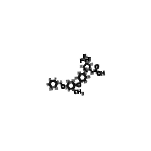 Cc1cc(OCc2ccccc2)ccc1Oc1ccc(N2CC(C(F)(F)F)CC2CC(=O)O)cc1